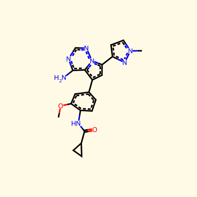 COc1cc(-c2cc(-c3ccn(C)n3)n3ncnc(N)c23)ccc1NC(=O)C1CC1